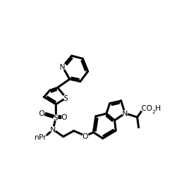 CCCN(CCOc1ccc2c(ccn2C(C)C(=O)O)c1)S(=O)(=O)c1ccc(-c2ccccn2)s1